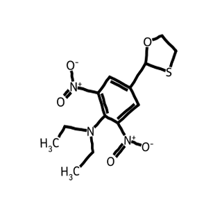 CCN(CC)c1c([N+](=O)[O-])cc(C2OCCS2)cc1[N+](=O)[O-]